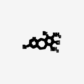 Nc1c(Cl)c(N)c2c(c1Br)Cc1ncc(Br)cc1CC2